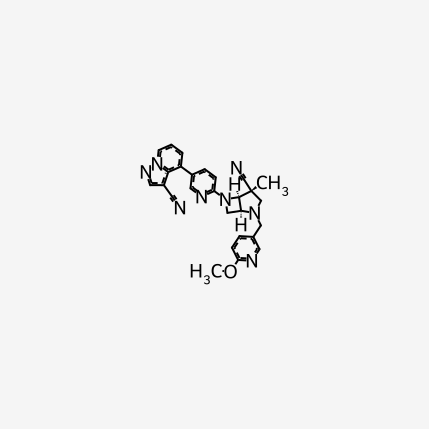 COc1ccc(CN2C[C@@](C)(C#N)[C@H]3[C@@H]2CN3c2ccc(-c3cccn4ncc(C#N)c34)cn2)cn1